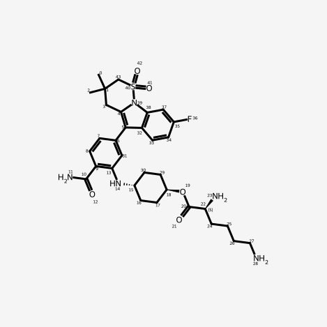 CC1(C)Cc2c(-c3ccc(C(N)=O)c(N[C@H]4CC[C@H](OC(=O)[C@@H](N)CCCCN)CC4)c3)c3ccc(F)cc3n2S(=O)(=O)C1